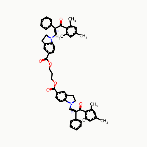 Cc1cc(C)c(C(=O)/C(=C\N2CCc3cc(C(=O)OCCCOC(=O)c4ccc5c(c4)CCN5/C=C(/C(=O)c4c(C)cc(C)cc4C)c4ccccc4)ccc32)c2ccccc2)c(C)c1